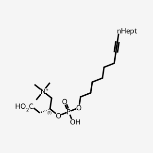 CCCCCCCC#CCCCCCCOP(=O)(O)O[C@H](CC(=O)O)C[N+](C)(C)C